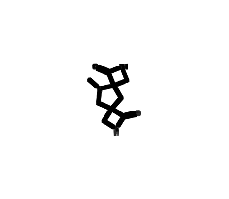 CN1CC2(CNC2=O)CC12CNC2=O